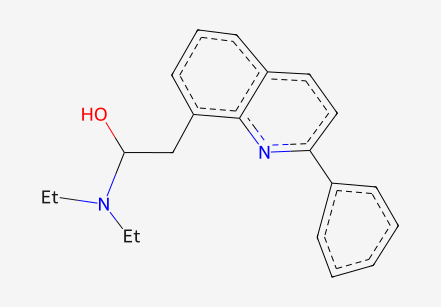 CCN(CC)C(O)Cc1cccc2ccc(-c3ccccc3)nc12